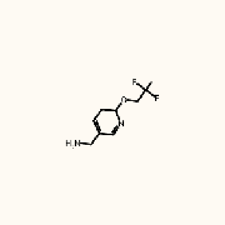 NCC1=CCC(OCC(F)(F)F)N=C1